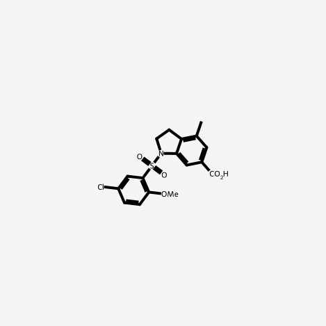 COc1ccc(Cl)cc1S(=O)(=O)N1CCc2c(C)cc(C(=O)O)cc21